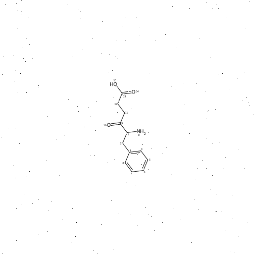 NC(Cc1ccccc1)C(=O)CCC(=O)O